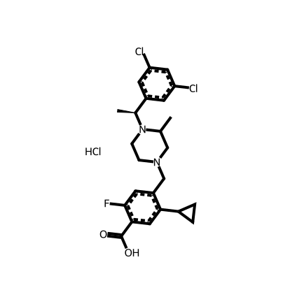 CC1CN(Cc2cc(F)c(C(=O)O)cc2C2CC2)CCN1[C@@H](C)c1cc(Cl)cc(Cl)c1.Cl